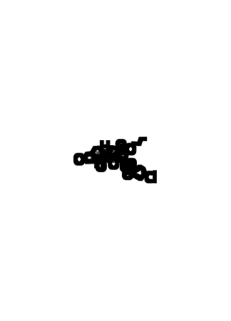 CCCCOC(=O)O[C@]1(C(=O)COS(=O)(=O)c2ccc(Cl)cc2)CC[C@H]2[C@@H]3CCC4=CC(=O)C=C[C@]4(C)[C@H]3C(=O)C[C@@]21C